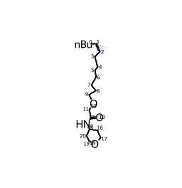 CCCC/C=C\CCCCCCCOCC(=O)NC1CCOCC1